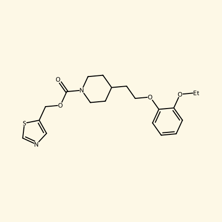 CCOc1ccccc1OCCC1CCN(C(=O)OCc2cncs2)CC1